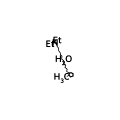 CCN(CC)CCCCCCCCCCCCCCc1ccccc1C.O